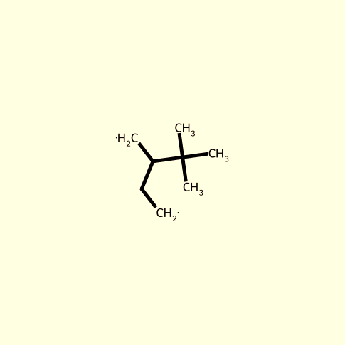 [CH2]CC([CH2])C(C)(C)C